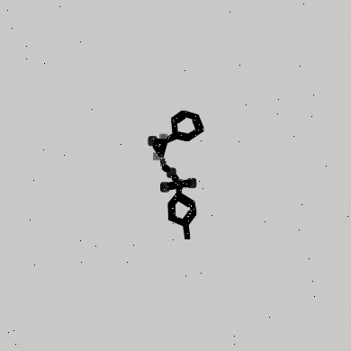 Cc1ccc(S(=O)(=O)OC[C@@H]2O[C@H]2c2ccccc2)cc1